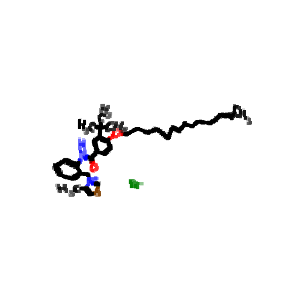 CCCCCCCCCCCCCCOc1ccc(C(=O)Nc2ccccc2C[n+]2cscc2C)cc1C(C)(C)C.[Br-]